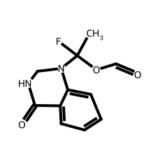 CC(F)(OC=O)N1CNC(=O)c2ccccc21